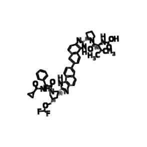 CC(C)[C@H](NC(=O)O)C(=O)N1CCC[C@H]1c1nc2ccc3cc(-c4ccc5c(ccc6nc([C@@H]7C[C@H](COC(F)F)CN7C(=O)[C@H](NC(=O)C7CC7)c7ccccc7)[nH]c65)c4)ccc3c2[nH]1